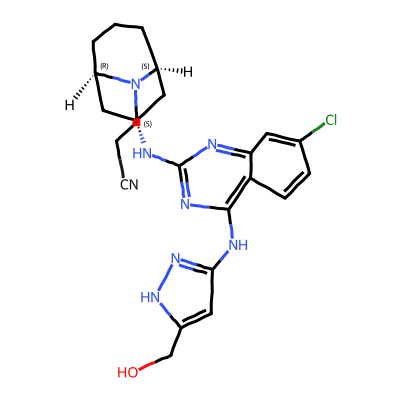 N#CCCN1[C@@H]2CCC[C@H]1C[C@H](Nc1nc(Nc3cc(CO)[nH]n3)c3ccc(Cl)cc3n1)C2